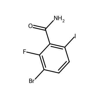 NC(=O)c1c(I)ccc(Br)c1F